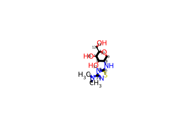 CN(C)c1nsc(N[C@@H]2CO[C@H](CO)[C@H](O)[C@@H]2O)n1